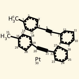 Cc1ccc(C#Cc2ccccc2)cc1.Cc1ccc(C#Cc2ccccc2)cc1.[Pt]